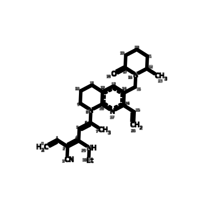 C=C/C(C#N)=C(\C=C(/C)N1CCCc2cc(CN3C(=O)CCCC3C)c(C=C)nc21)NCC